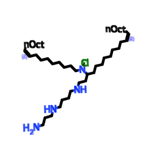 CCCCCCCC/C=C\CCCCCCCCC(CCNCCCCNCCCN)N(Cl)CCCCCCCC/C=C\CCCCCCCC